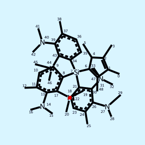 CC1=C(C)C(C)C([Si](c2ccc(C)c(N(C)C)c2N(C)C)(c2ccc(C)c(N(C)C)c2N(C)C)c2ccc(C)c(N(C)C)c2N(C)C)=C1C